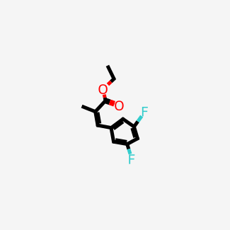 CCOC(=O)C(C)=Cc1cc(F)cc(F)c1